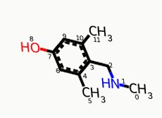 CNCc1c(C)cc(O)cc1C